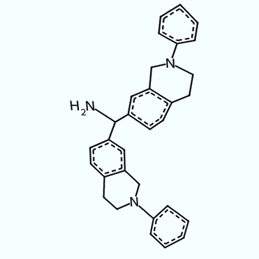 NC(c1ccc2c(c1)CN(c1ccccc1)CC2)c1ccc2c(c1)CN(c1ccccc1)CC2